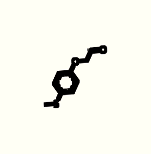 CSc1ccc(OC[C]=O)cc1